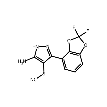 N#CSc1c(-c2cccc3c2OC(F)(F)O3)n[nH]c1N